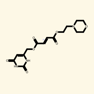 O=C(/C=C/C(=O)OCc1cc(=O)[nH]c(=O)[nH]1)OCCN1CCOCC1